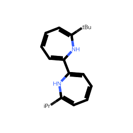 CC(C)C1=CC=CC=C(C2=CC=CC=C(C(C)(C)C)N2)N1